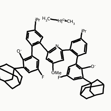 COc1cc(-c2cc(C(C)C)ccc2-c2cc(F)cc(C34CC5CC(CC(C5)C3)C4)c2[O-])nc(-c2cc(C(C)C)ccc2-c2cc(F)cc(C34CC5CC(CC(C5)C3)C4)c2[O-])c1.[CH3][Hf+2][CH3]